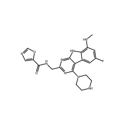 CNc1cc(F)cc2c1[nH]c1nc(CNC(=O)c3cnco3)nc(N3CCNCC3)c12